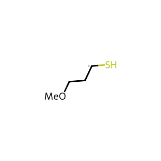 COCC[CH]S